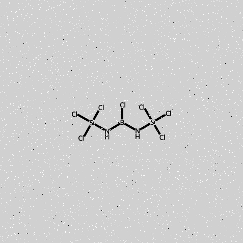 ClB(N[Si](Cl)(Cl)Cl)N[Si](Cl)(Cl)Cl